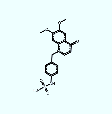 COc1cc2c(=O)ccn(Cc3ccc(NS(N)(=O)=O)cc3)c2cc1OC